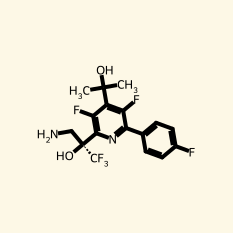 CC(C)(O)c1c(F)c(-c2ccc(F)cc2)nc([C@@](O)(CN)C(F)(F)F)c1F